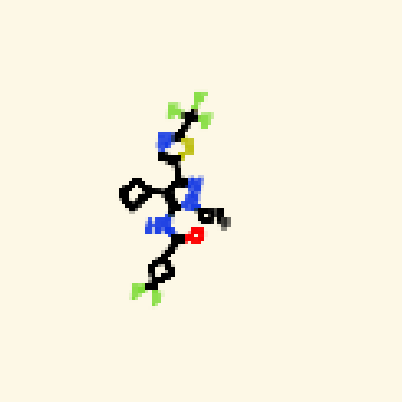 Cn1nc(-c2cnc(C(F)(F)F)s2)c(C2CCC2)c1NC(=O)C1CC(F)(F)C1